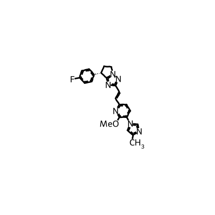 COc1nc(/C=C/c2nc3n(n2)CC[C@H]3c2ccc(F)cc2)ccc1-n1cnc(C)c1